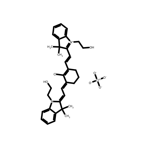 CC1(C)C(=CC=C2CCCC(C=CC3=[N+](CCO)c4ccccc4C3(C)C)=C2Cl)N(CCO)c2ccccc21.[O-][Cl+3]([O-])([O-])[O-]